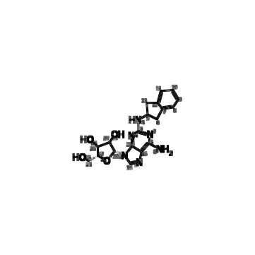 Nc1nc(NC2Cc3ccccc3C2)nc2c1ncn2[C@@H]1O[C@H](CO)C(O)C1O